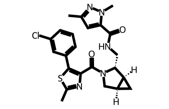 Cc1cc(C(=O)NC[C@@H]2[C@H]3C[C@H]3CN2C(=O)c2nc(C)sc2-c2cccc(Cl)c2)n(C)n1